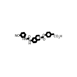 N#Cc1cccc(NC(=O)Nc2ccc3c(c2)CCN(C(=O)OC2CCC(CC(=O)O)CC2)C3)c1